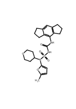 Cc1ccc(N(C2CCOCC2)S(=O)(=O)NC(=O)Nc2c3c(cc4c2CCC4)CCC3)o1